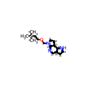 C[Si](C)(C)CCOCn1ccc2c3[nH]ccc3cnc21